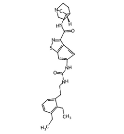 CCc1cccc(CCNC(=O)Nc2ccc3c(C(=O)N[C@@H]4CN5CCC4CC5)nsc3c2)c1CC